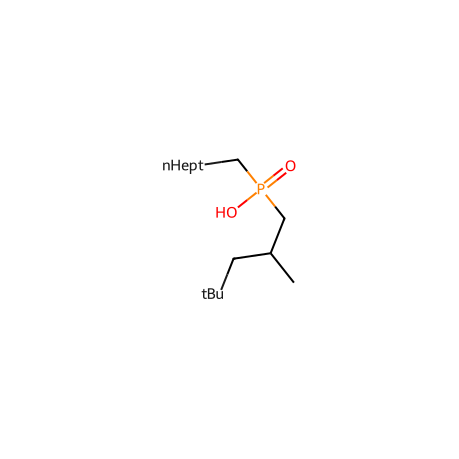 CCCCCCCCP(=O)(O)CC(C)CC(C)(C)C